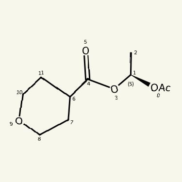 CC(=O)O[C@H](C)OC(=O)C1CCOCC1